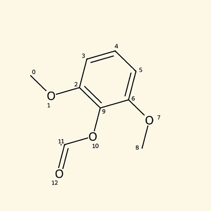 COc1cccc(OC)c1O[C]=O